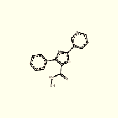 O=C(NO)c1sc(-c2cccnc2)nc1-c1ccccc1